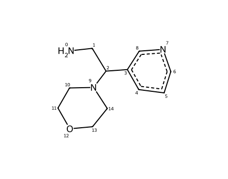 NCC(c1cccnc1)N1CCOCC1